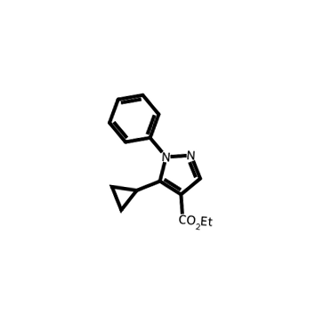 CCOC(=O)c1cnn(-c2ccccc2)c1C1CC1